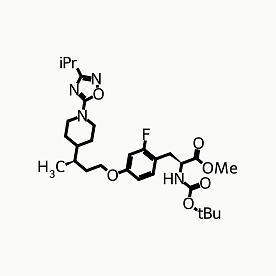 COC(=O)[C@H](Cc1ccc(OCC[C@@H](C)C2CCN(c3nc(C(C)C)no3)CC2)cc1F)NC(=O)OC(C)(C)C